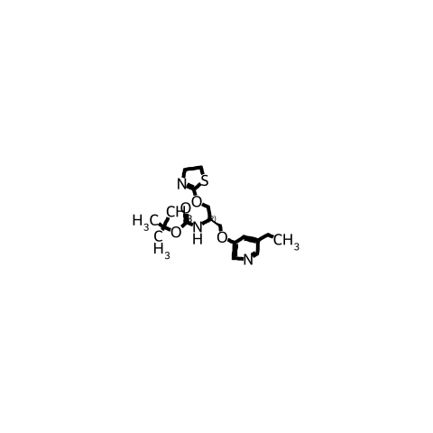 CCc1cncc(OC[C@H](COC2=NCCS2)NC(=O)OC(C)(C)C)c1